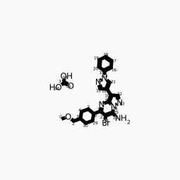 COCC1CCC(c2nc3c(-c4cnn(-c5ccccc5)c4)cnn3c(N)c2Br)CC1.O=C(O)O